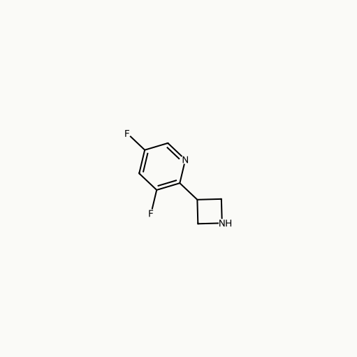 Fc1cnc(C2CNC2)c(F)c1